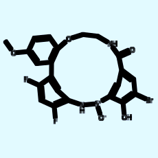 COc1ccc2c(c1)-c1cc(c(F)cc1F)N[S+]([O-])c1cc(cc(Br)c1O)C(=O)NCCO2